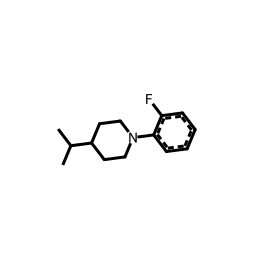 CC(C)C1CCN(c2ccccc2F)CC1